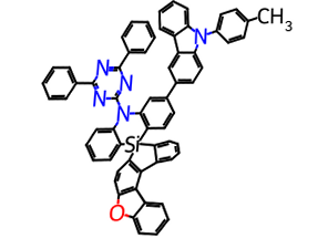 Cc1ccc(-n2c3ccccc3c3cc(-c4ccc5c(c4)N(c4nc(-c6ccccc6)nc(-c6ccccc6)n4)c4ccccc4[Si]54c5ccccc5-c5c4ccc4oc6ccccc6c54)ccc32)cc1